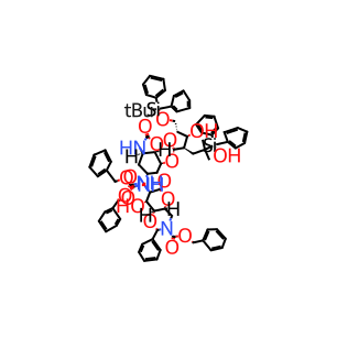 CC(C)(C[C@H]1[C@H](O[C@@H]2[C@H]3OC(=O)N[C@@H]3C[C@H](NC(=O)OCc3ccccc3)[C@H]2O[C@H]2O[C@@H]3CN(C(=O)OCc4ccccc4)C(c4ccccc4)O[C@H]3[C@H](O)[C@H]2NC(=O)OCc2ccccc2)O[C@H](CO[Si](c2ccccc2)(c2ccccc2)C(C)(C)C)[C@H]1O)[Si](O)(c1ccccc1)c1ccccc1